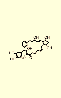 CN(C(=O)CCC/C=C\C[C@@H]1[C@@H](/C=C/[C@@H](O)CCc2ccccc2)[C@H](O)C[C@@H]1O)C(O)Cc1ccc(O)c(O)c1